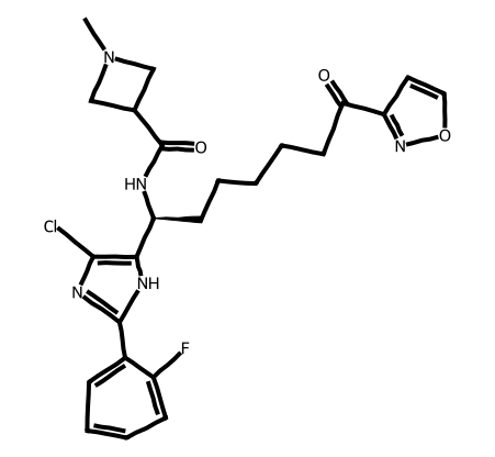 CN1CC(C(=O)N[C@@H](CCCCCC(=O)c2ccon2)c2[nH]c(-c3ccccc3F)nc2Cl)C1